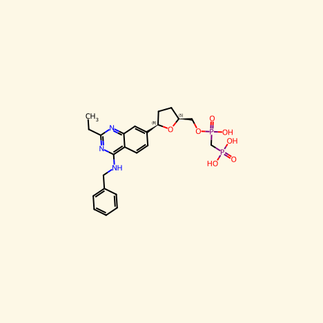 CCc1nc(NCc2ccccc2)c2ccc([C@H]3CC[C@@H](COP(=O)(O)CP(=O)(O)O)O3)cc2n1